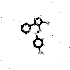 Cc1ccc(N=Nc2c(-c3ccccn3)noc2O)cc1